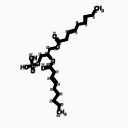 CCC=CCC=CCC(=O)OC[C@H](COP(=O)(O)O)OC(=O)CC=CCCCCC